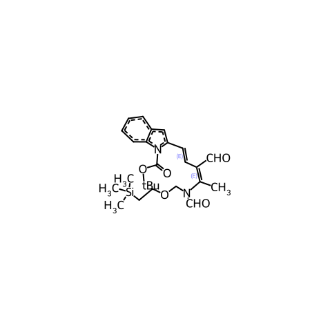 C/C(=C(C=O)/C=C/c1cc2ccccc2n1C(=O)OC(C)(C)C)N(C=O)COCC[Si](C)(C)C